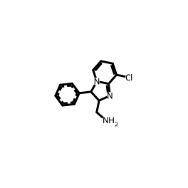 NCC1N=C2C(Cl)=CC=CN2C1c1ccccc1